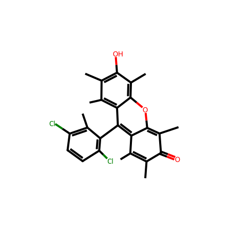 Cc1c(Cl)ccc(Cl)c1-c1c2c(C)c(C)c(=O)c(C)c-2oc2c(C)c(O)c(C)c(C)c12